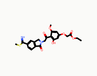 CCOC(=O)COc1cc(O)c(C(=O)CN2Cc3cc(C(=N)SC)ccc3C2=O)c(OC)c1